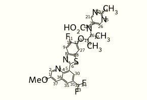 COc1cnc2c(-c3nc4cc(F)c(O[C@@H](C)[C@@H](C)N(C(=O)O)c5cnc(C)nc5)cc4s3)cc(C(F)F)cc2c1